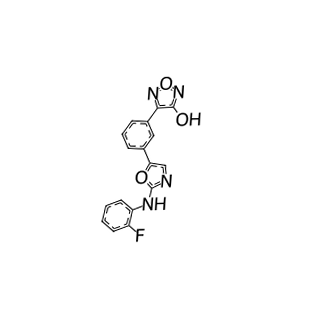 Oc1nonc1-c1cccc(-c2cnc(Nc3ccccc3F)o2)c1